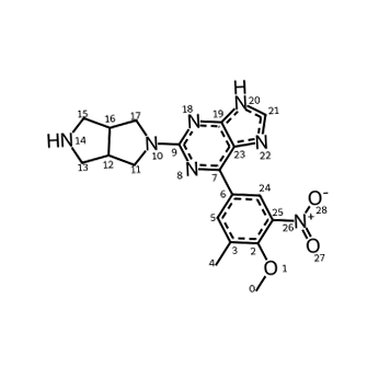 COc1c(C)cc(-c2nc(N3CC4CNCC4C3)nc3[nH]cnc23)cc1[N+](=O)[O-]